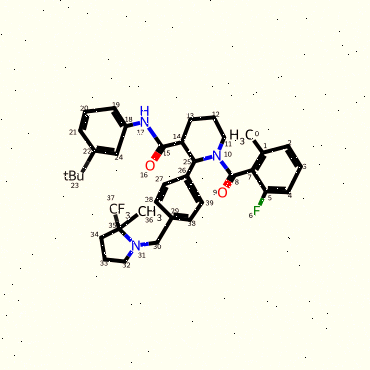 Cc1cccc(F)c1C(=O)N1CCCC(C(=O)Nc2cccc(C(C)(C)C)c2)C1c1ccc(CN2CCCC2(C)C(F)(F)F)cc1